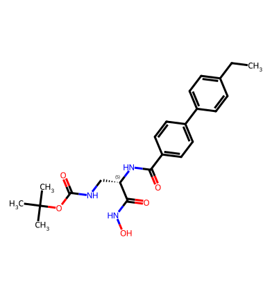 CCc1ccc(-c2ccc(C(=O)N[C@@H](CNC(=O)OC(C)(C)C)C(=O)NO)cc2)cc1